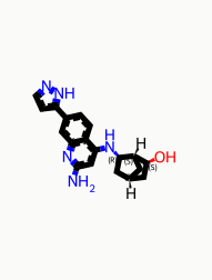 Nc1cc(N[C@@H]2C[C@H]3C[C@@H]2[C@@H](O)C3)c2ccc(-c3ccn[nH]3)cc2n1